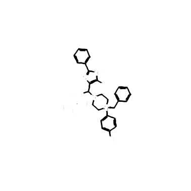 Cc1[nH]c(-c2ccccc2)nc1C(C)N1CC[N+](Cc2ccccc2)(c2ccc(Cl)cc2)CC1.Cl.Cl.Cl